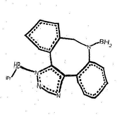 BN1Cc2ccccc2-c2c(nnn2BC(C)C)-c2ccccc21